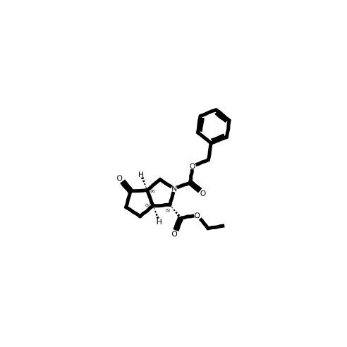 CCOC(=O)[C@@H]1[C@H]2CCC(=O)[C@H]2CN1C(=O)OCc1ccccc1